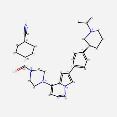 CC(C)N1CCC[C@@H](c2ccc(-c3cc4c(N5CCN(C(=O)[C@H]6CC[C@H](C#N)CC6)CC5)ccnn4c3)cc2)C1